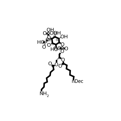 CCCCCCCCCCCCCCCC(=O)O[C@H](COC(=O)CCCCCCCCN)COP(=O)(O)OC1C(O)[C@H](OP(=O)(O)O)C(OP(=O)(O)O)[C@H](O)[C@@H]1O